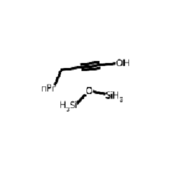 CCCCC#CO.[SiH3]O[SiH3]